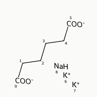 O=C([O-])CCCCC(=O)[O-].[K+].[K+].[NaH]